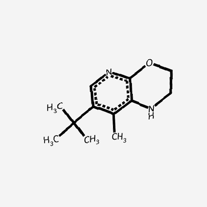 Cc1c(C(C)(C)C)cnc2c1NCCO2